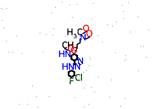 C=CC(=O)Nc1cc2c(Nc3ccc(F)c(Cl)c3)ncnc2cc1OCCCCN1CCOC(=O)C1C